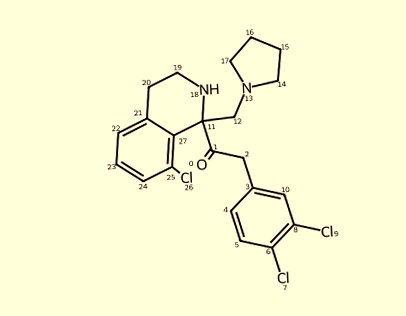 O=C(Cc1ccc(Cl)c(Cl)c1)C1(CN2CCCC2)NCCc2cccc(Cl)c21